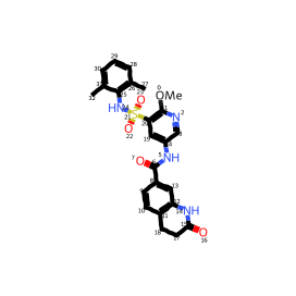 COc1ncc(NC(=O)c2ccc3c(c2)NC(=O)CC3)cc1S(=O)(=O)Nc1c(C)cccc1C